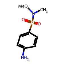 CON(C)S(=O)(=O)c1ccc(N)cc1